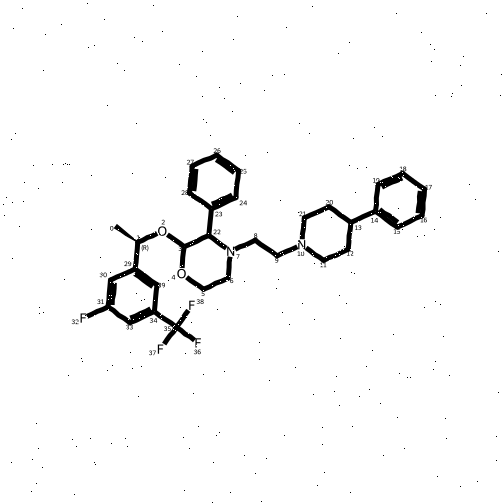 C[C@@H](OC1OCCN(CCN2CCC(c3ccccc3)CC2)C1c1ccccc1)c1cc(F)cc(C(F)(F)F)c1